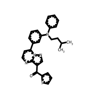 CC(C)CCN(c1ccccc1)c1cccc(-c2ccnc3c(C(=O)c4cccs4)cnn23)c1